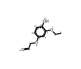 CCOc1cc(OC[C]=O)ccc1O